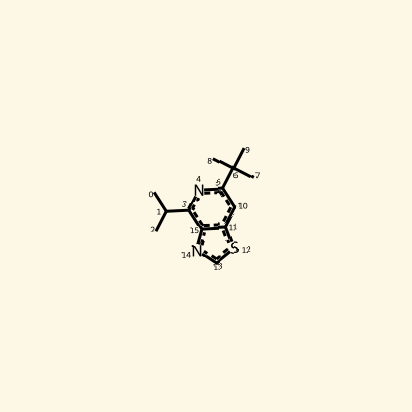 CC(C)c1nc(C(C)(C)C)cc2scnc12